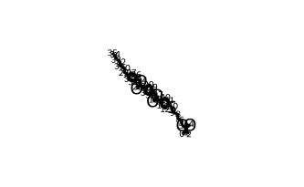 C=C(C)C(=O)OCCCCSc1ccc(C(=O)Oc2ccc(C(=O)Oc3ccc(CCCCCCC)cc3)cc2)cc1